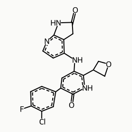 O=C1Cc2c(Nc3cc(-c4ccc(F)c(Cl)c4)c(=O)[nH]c3C3COC3)ccnc2N1